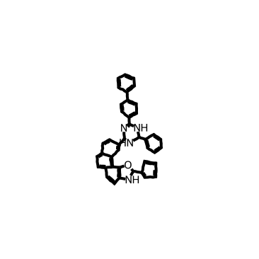 c1ccc(-c2ccc(C3=NC(c4ccc5ccc6ccc7c(c6c5c4)OC(c4ccccc4)N7)NC(c4ccccc4)N3)cc2)cc1